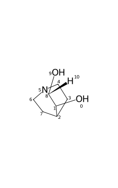 OC1C2CCN(CC2)[C@@H]1O